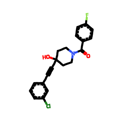 O=C(c1ccc(F)cc1)N1CCC(O)(C#Cc2cccc(Cl)c2)CC1